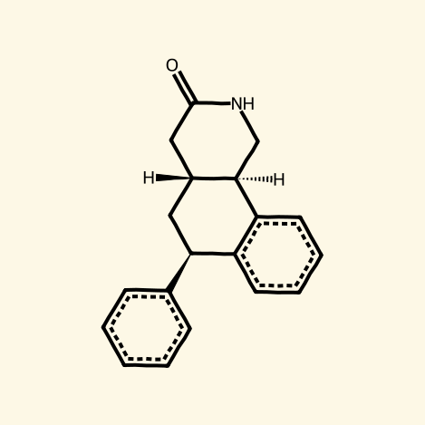 O=C1C[C@H]2C[C@H](c3ccccc3)c3ccccc3[C@@H]2CN1